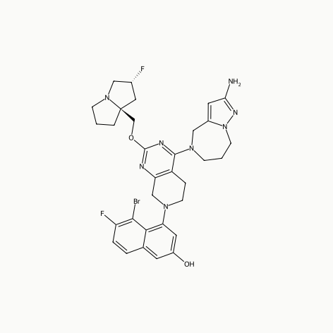 Nc1cc2n(n1)CCCN(c1nc(OC[C@@]34CCCN3C[C@H](F)C4)nc3c1CCN(c1cc(O)cc4ccc(F)c(Br)c14)C3)C2